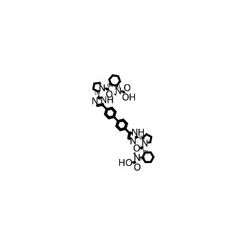 CN(C(=O)O)[C@@H]1CCCC[C@H]1C(=O)N1CCC[C@H]1c1ncc(-c2ccc(-c3ccc(-c4cnc([C@@H]5CCCN5C(=O)[C@@H]5CCCC[C@H]5N(C)C(=O)O)[nH]4)cc3)cc2)[nH]1